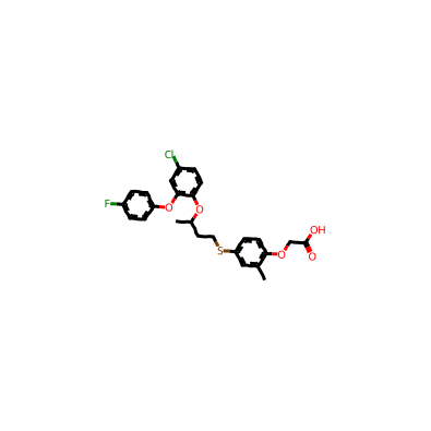 Cc1cc(SCCC(C)Oc2ccc(Cl)cc2Oc2ccc(F)cc2)ccc1OCC(=O)O